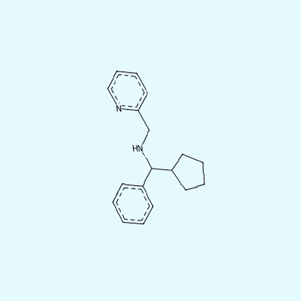 c1ccc(C(NCc2ccccn2)C2CCCC2)cc1